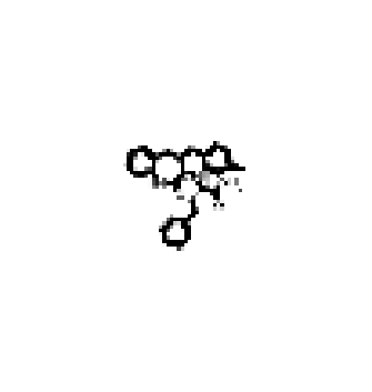 Cc1ccc(CC2Cc3ccccc3NC(=O)[C@H]2N[C@@H](CCc2ccccc2)C(N)=O)cc1